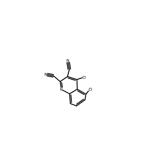 N#Cc1nc2cccc(Cl)c2c(Cl)c1C#N